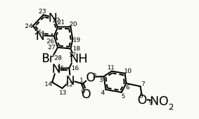 O=C(Oc1ccc(CO[N+](=O)[O-])cc1)N1CCN=C1Nc1ccc2nccnc2c1Br